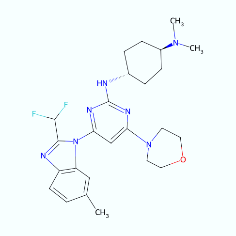 Cc1ccc2nc(C(F)F)n(-c3cc(N4CCOCC4)nc(N[C@H]4CC[C@H](N(C)C)CC4)n3)c2c1